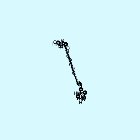 Cc1ccc(NC(=O)c2ccc(CN3CCN(CCCCCCOCCOCCOCCOCCOCCOCC(=O)Nc4cccc5c4C(=O)N(C4CCC(=O)NC4=O)C5=O)CC3)cc2)cc1Nc1nccc(-c2ccccc2)n1